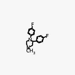 CN1CCN(c2ccc(F)cc2)C(c2ccc(F)cc2)C1